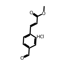 COC(=O)C=Cc1ccc(C=O)cc1.Cl